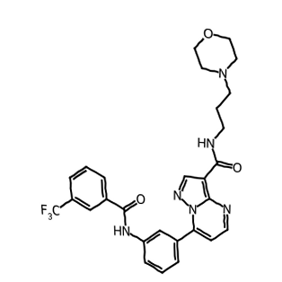 O=C(Nc1cccc(-c2ccnc3c(C(=O)NCCCN4CCOCC4)cnn23)c1)c1cccc(C(F)(F)F)c1